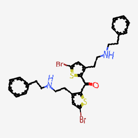 O=C(c1sc(Br)cc1CCNCCc1ccccc1)c1sc(Br)cc1CCNCCc1ccccc1